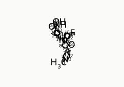 CN1CCN(CC2CCc3c(c4cc(F)ccc4n3Cc3ccc(C(=O)NO)cc3)C2=O)CC1